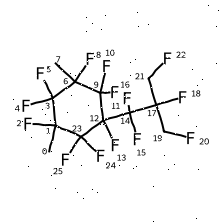 CC1(F)C(F)(F)C(C)(F)C(F)(F)C(F)(C(F)(F)C(F)(CF)CF)C1(F)F